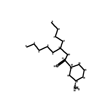 CCCCCC(CCCC)CC(=O)N1CCC[C@H](N)C1